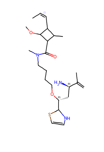 C=C(C)[C@H](N)C[C@@H](OCCCCN(C)C(=O)C1C(C)C(/C=C\C)C1OC)C1NC=CS1